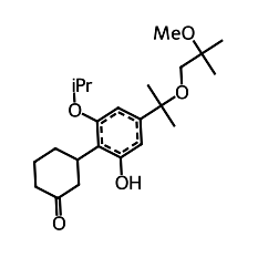 COC(C)(C)COC(C)(C)c1cc(O)c(C2CCCC(=O)C2)c(OC(C)C)c1